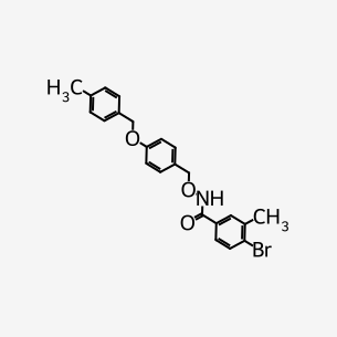 Cc1ccc(COc2ccc(CONC(=O)c3ccc(Br)c(C)c3)cc2)cc1